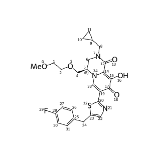 COCCOC[C@H]1CN(CC2CC2)C(=O)c2c(O)c(=O)c(-c3ncc(Cc4ccc(F)cc4)s3)cn21